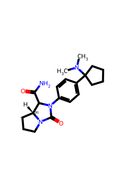 CN(C)C1(c2ccc(N3C(=O)N4CC[CH][C@@H]4C3C(N)=O)cc2)CCCC1